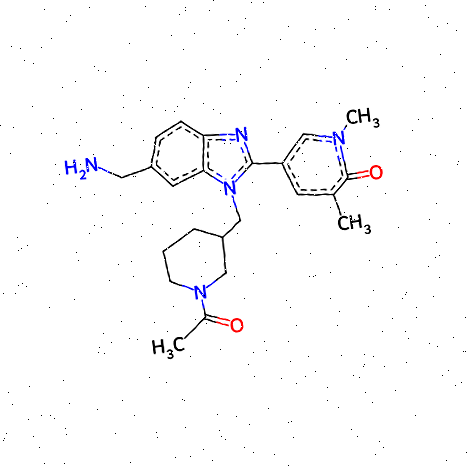 CC(=O)N1CCCC(Cn2c(-c3cc(C)c(=O)n(C)c3)nc3ccc(CN)cc32)C1